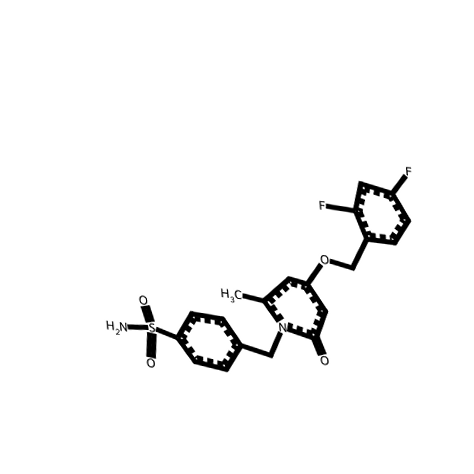 Cc1cc(OCc2ccc(F)cc2F)cc(=O)n1Cc1ccc(S(N)(=O)=O)cc1